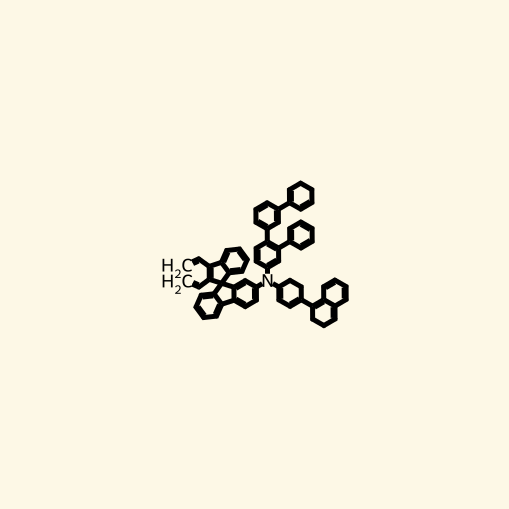 C=CC1=C(C=C)C2(c3ccccc31)c1ccccc1-c1ccc(N(C3=CC=C(C4=c5ccccc5=CCC4)CC3)c3ccc(-c4cccc(C5=CCCC=C5)c4)c(-c4ccccc4)c3)cc12